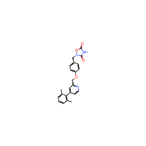 Cc1cccc(C)c1-c1ccnc(COc2ccc(Cn3oc(=O)[nH]c3=O)cc2)c1